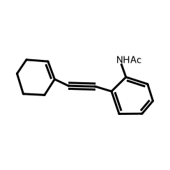 CC(=O)Nc1ccccc1C#CC1=CCCCC1